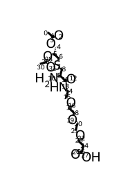 CC(=O)OC[C@H](CSC[C@H](N)C(=O)NCCOCCOCCOCCC(=O)O)OC(C)=O